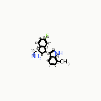 Cc1cccc2c([C@@H]3C[C@H](CN)c4ccc(F)cc43)c[nH]c12